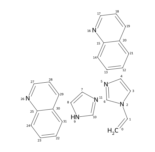 C=Cn1ccnc1.c1c[nH]cn1.c1ccc2ncccc2c1.c1ccc2ncccc2c1